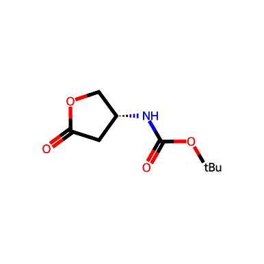 CC(C)(C)OC(=O)N[C@H]1COC(=O)C1